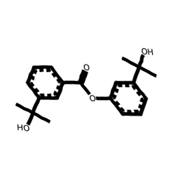 CC(C)(O)c1cccc(OC(=O)c2cccc(C(C)(C)O)c2)c1